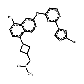 CC(=O)c1cc(-c2nccc(Nc3cc4c(C(C)C)ccc(N5CC(C[S+](C)[O-])C5)c4cn3)n2)cs1